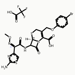 CO/N=C(\C(=O)NC1C(=O)N2C(C(=O)O)=C(COc3ccc(Br)cc3)CS[C@H]12)c1csc(N)n1.O=C(O)C(F)(F)F